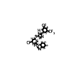 FC(F)(F)c1cc(-c2nnc(Sc3cc(Cl)nc([SH]4C=Nc5ccccc54)n3)[nH]2)cc(C(F)(F)F)c1